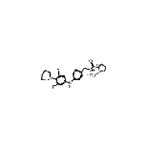 O=C(NCc1ccc(Nc2cc(F)c(N3CCCCC3)c(F)c2)cc1)[C@H]1CCCN1C(=O)O